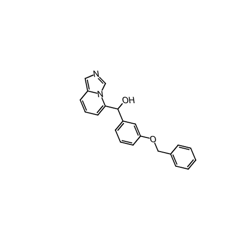 OC(c1cccc(OCc2ccccc2)c1)c1cccc2cncn12